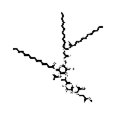 CCCCCCCCCCCCCC(=O)OC1O[C@H](COC(=O)C[C@@H](CCCCCCCCCCC)OC(=O)CCCCCCCCCCC)[C@@H](O)[C@@H](OC(C)C(=O)N[C@@H](C)C(=O)N[C@H](CCC(=O)OC)C(N)=O)[C@H]1NC(C)=O